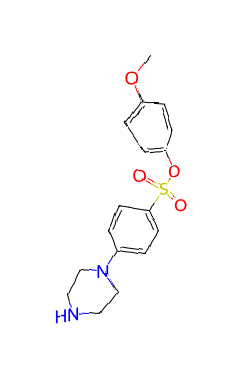 COc1ccc(OS(=O)(=O)c2ccc(N3CCNCC3)cc2)cc1